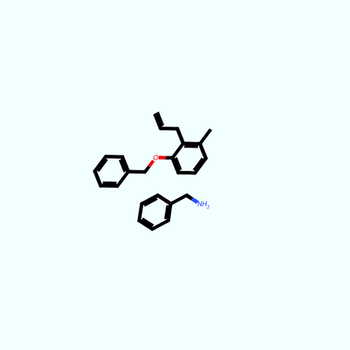 C=CCc1c(C)cccc1OCc1ccccc1.NCc1ccccc1